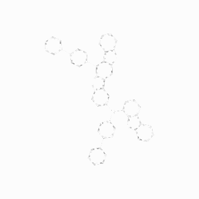 c1ccc(-c2ccc(-c3c4oc5ccc(N(c6ccc(-c7ccccc7)cc6)c6cccc7c6sc6ccccc67)cc5c4cc4oc5ccccc5c34)cc2)cc1